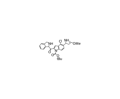 COCCC(N)c1ccc2c(cc(C(=O)C3NCc4ccccc43)n2C(=O)OC(C)(C)C)c1Cl